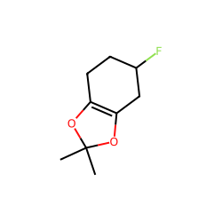 CC1(C)OC2=C(CC(F)CC2)O1